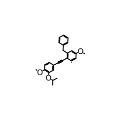 COc1c[c]c(C#Cc2ccc(OC)c(OC(C)C)c2)c(Cc2ccccc2)c1